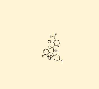 O=C(NC(c1cccc(F)c1Cl)[C@]1(O)CC[C@H](F)CC1)c1nccc(C(F)F)c1Cl